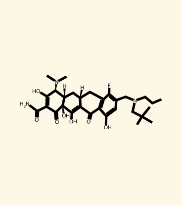 CCCN(Cc1cc(O)c2c(c1F)C[C@H]1C[C@H]3[C@H](N(C)C)C(O)=C(C(N)=O)C(=O)[C@@]3(O)C(O)=C1C2=O)CC(C)(C)C